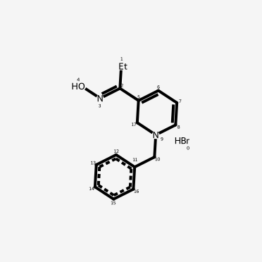 Br.CCC(=NO)C1=CC=CN(Cc2ccccc2)C1